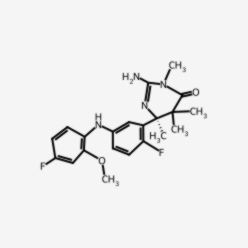 COc1cc(F)ccc1Nc1ccc(F)c([C@@]2(C)N=C(N)N(C)C(=O)C2(C)C)c1